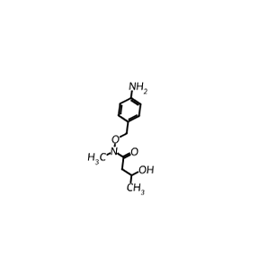 CC(O)CC(=O)N(C)OCc1ccc(N)cc1